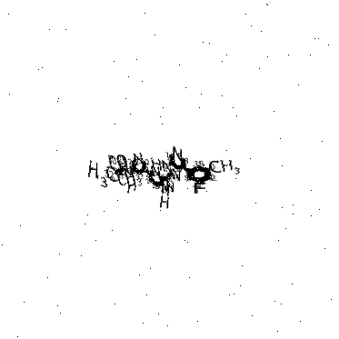 Cc1cc(F)cc(-c2cncc3[nH]c(-c4n[nH]c5ccc(-c6cncc(NC(=O)C(C)(C)C)c6)nc45)nc23)c1